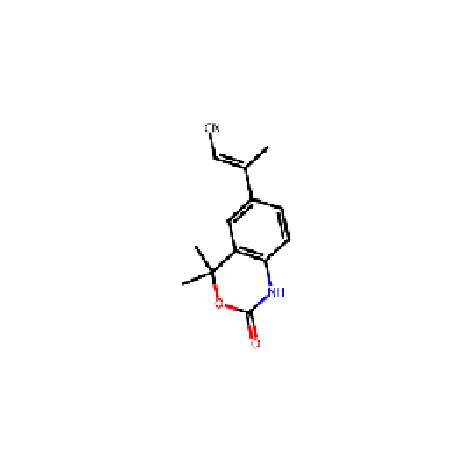 CC(=CC#N)c1ccc2c(c1)C(C)(C)OC(=O)N2